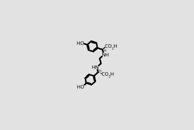 O=C(O)[C@@H](NCCN[C@H](C(=O)O)c1ccc(O)cc1)c1ccc(O)cc1